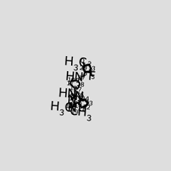 Cc1ccc(F)c(CN[C@H]2CC[C@@H](Nc3nc(N(C)C)c4ccccc4n3)CC2)c1